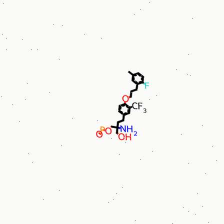 Cc1ccc(F)c(CCCOc2ccc(CCC(N)(CO)COP=O)cc2C(F)(F)F)c1